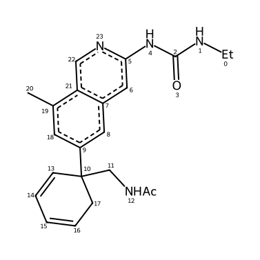 CCNC(=O)Nc1cc2cc(C3(CNC(C)=O)C=CC=CC3)cc(C)c2cn1